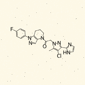 Cc1c(Cl)c(-c2ncc[nH]2)nn1CC(=O)N1CCCc2c1cnn2-c1ccc(F)cc1